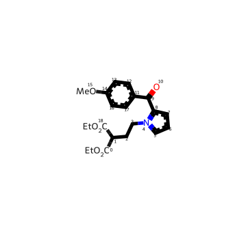 CCOC(=O)C(CCn1cccc1C(=O)c1ccc(OC)cc1)C(=O)OCC